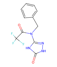 O=C(N(Cc1ccccc1)c1n[nH]c(=O)[nH]1)C(F)(F)F